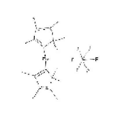 CC1=C(C)C(C)(C)[C]([Co+][C]2=C(C)C(C)=C(C)C2(C)C)=C1C.F[P-](F)(F)(F)(F)F